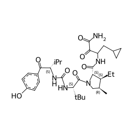 CC[C@@H]1[C@@H](C(=O)NC(CC2CC2)C(=O)C(N)=O)N(C(=O)[C@@H](NC(=O)N[C@H](C(=O)c2ccc(O)cc2)C(C)C)C(C)(C)C)C[C@@H]1C